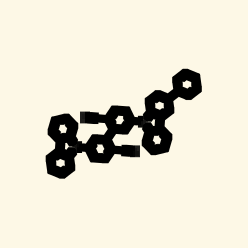 N#Cc1ccc(-n2c3ccccc3c3ccccc32)cc1-c1cc(-n2c3ccccc3c3cc(-c4ccccc4)ccc32)ccc1C#N